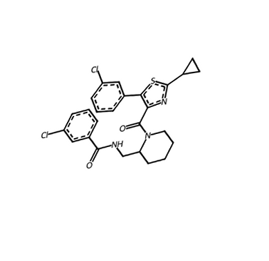 O=C(NCC1CCCCN1C(=O)c1nc(C2CC2)sc1-c1cccc(Cl)c1)c1cccc(Cl)c1